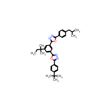 CCC(C)(C)c1cc(-c2nnc(-c3ccc(CC(C)C)cc3)o2)cc(-c2nnc(-c3ccc(C(C)(C)C)cc3)o2)c1